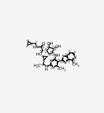 Cc1nc(N[C@H](C)C2CC2)nc(N[C@@H]2C[C@H](C(O)C(=O)NCC3CC3)[C@@H](O)[C@H]2O)c1-c1nc2c(C)nccc2s1